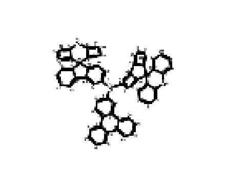 c1ccc2c(c1)Sc1ccccc1C21c2ccccc2-c2cc(N(c3ccc4c(c3)-c3ccccc3C43c4ccccc4Sc4ccccc43)c3ccc4c5ccccc5c5ccccc5c4c3)ccc21